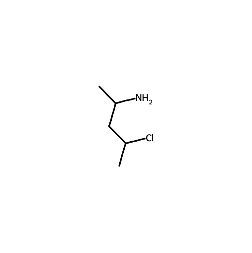 CC(N)CC(C)Cl